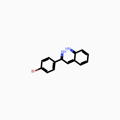 N=C1C=CC=C/C1=C/C(=N)c1ccc(Br)cc1